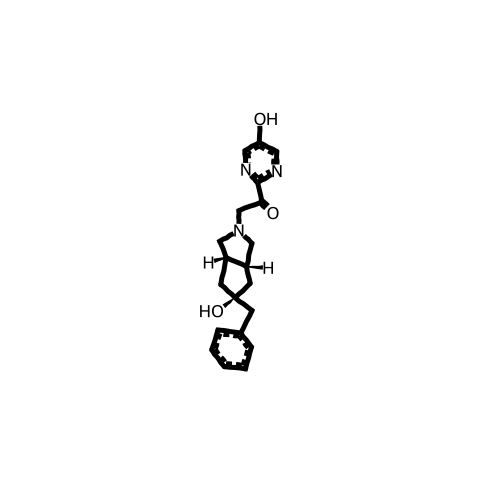 O=C(CN1C[C@@H]2C[C@](O)(Cc3ccccc3)C[C@@H]2C1)c1ncc(O)cn1